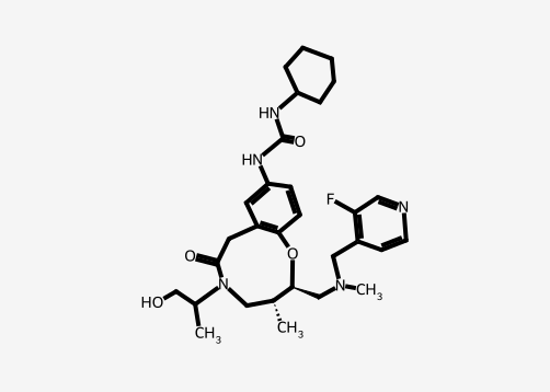 CC(CO)N1C[C@@H](C)[C@H](CN(C)Cc2ccncc2F)Oc2ccc(NC(=O)NC3CCCCC3)cc2CC1=O